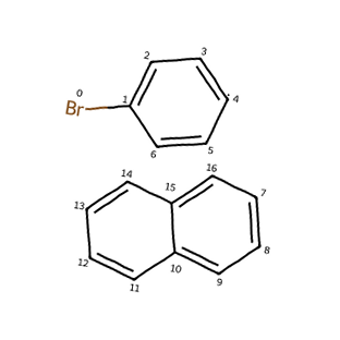 Brc1cc[c]cc1.c1ccc2ccccc2c1